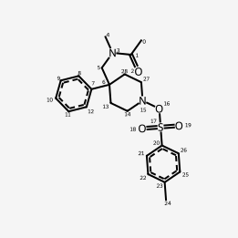 CC(=O)N(C)CC1(c2ccccc2)CCN(OS(=O)(=O)c2ccc(C)cc2)CC1